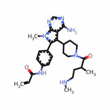 C=CC(=O)Nc1ccc(-c2c(C3CCN(C(=O)C(C)CCNC)CC3)c3c(N)ncnc3n2C)cc1